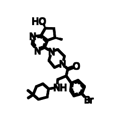 C[C@@H]1C[C@@H](O)c2ncnc(N3CCN(C(=O)C(CNC4CCC(C)(C)CC4)c4ccc(Br)cc4)CC3)c21